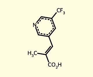 CC(=Cc1cncc(C(F)(F)F)c1)C(=O)O